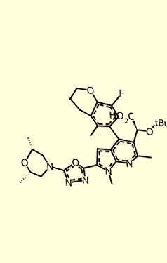 Cc1nc2c(cc(-c3nnc(N4C[C@@H](C)O[C@@H](C)C4)o3)n2C)c(-c2cc(F)c3c(c2C)CCCO3)c1[C@H](OC(C)(C)C)C(=O)O